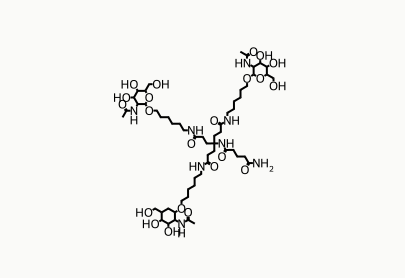 CC(=O)NC1C(OCCCCCCNC(=O)CCC(CCC(=O)NCCCCCCOC2OC(CO)C(O)C(O)C2NC(C)=O)(CCC(=O)NCCCCCCOC2OC(CO)C(O)C(O)C2NC(C)=O)NC(=O)CCCC(N)=O)CC(CO)C(O)C1O